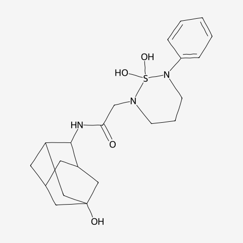 O=C(CN1CCCN(c2ccccc2)S1(O)O)NC1C2CC3CC1CC(O)(C3)C2